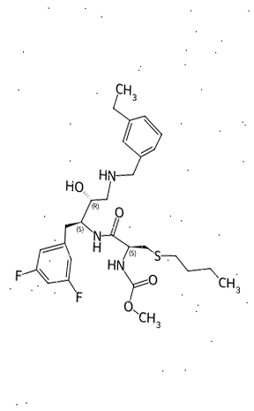 CCCCSC[C@@H](NC(=O)OC)C(=O)N[C@@H](Cc1cc(F)cc(F)c1)[C@H](O)CNCc1cccc(CC)c1